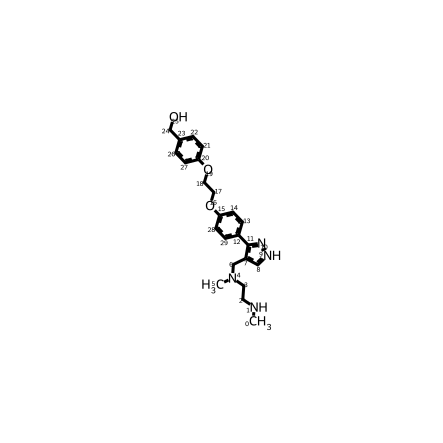 CNCCN(C)Cc1c[nH]nc1-c1ccc(OCCOc2ccc(CO)cc2)cc1